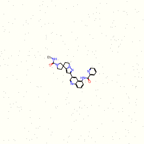 CCNC(=O)N1CCC2(CCn3nc(-c4cnc5cccc(NC(=O)c6ccccn6)c5c4)cc32)C1